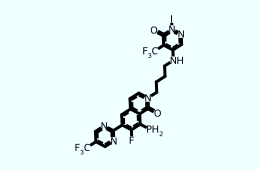 O=c1c2c(P)c(F)c(-c3ncc(C(F)(F)F)cn3)cc2ccn1CCCCNc1cnn(I)c(=O)c1C(F)(F)F